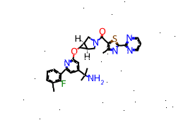 Cc1cccc(-c2cc(C(C)(C)N)cc(OC3[C@H]4CN(C(=O)c5sc(-c6ncccn6)nc5C)C[C@@H]34)n2)c1F